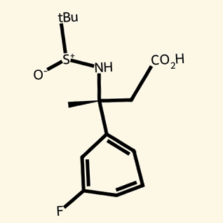 CC(C)(C)[S+]([O-])N[C@](C)(CC(=O)O)c1cccc(F)c1